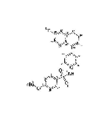 CCCCOc1ccc(S(=O)(=O)Nc2ccc(C3=NCCc4cc(F)ccc43)cc2)cc1